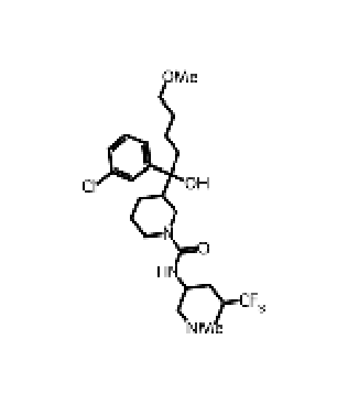 CNCC(CC(C)C(F)(F)F)NC(=O)N1CCCC(C(O)(CCCCOC)c2cccc(Cl)c2)C1